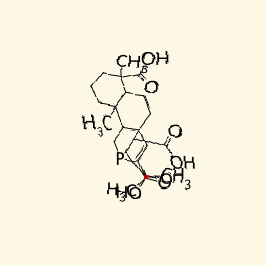 CC(C)C1=CC23CCC4C(C)(C(=O)O)CCCC4(C)C2CP1C(C(=O)O)C3C(=O)O